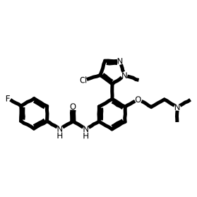 CN(C)CCOc1ccc(NC(=O)Nc2ccc(F)cc2)cc1-c1c(Cl)cnn1C